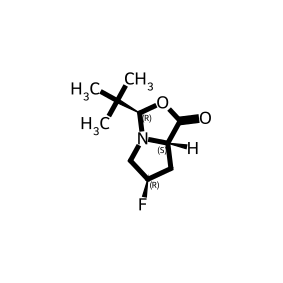 CC(C)(C)[C@H]1OC(=O)[C@@H]2C[C@@H](F)CN21